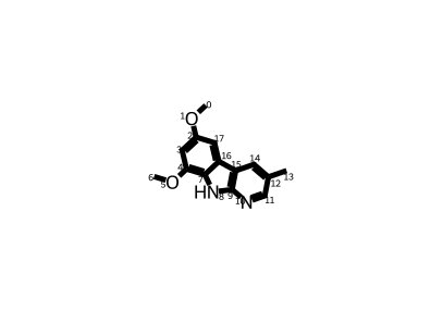 COc1cc(OC)c2[nH]c3ncc(C)cc3c2c1